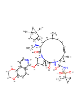 C[C@H]1CC/C=C\[C@@H]2C[C@@]2(C(=O)NS(=O)(=O)C2(C)CC2)NC(=O)[C@@H]2C[C@@H](Oc3nccc4c5c(ccc34)OCCO5)CN2C(=O)[C@@H](N(C(=O)O)[C@@H]2C[C@H]3C[C@H]3C2)[C@H](C)C1